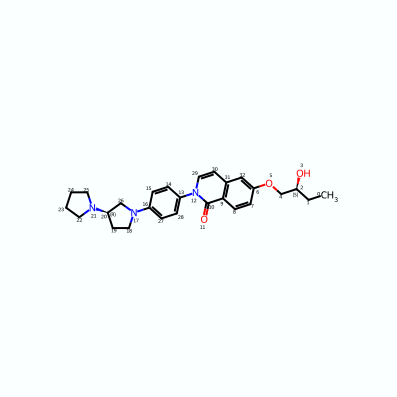 CC[C@H](O)COc1ccc2c(=O)n(-c3ccc(N4CC[C@@H](N5CCCC5)C4)cc3)ccc2c1